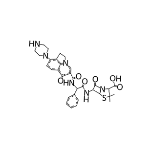 CC1(C)SC2C(NC(=O)C(NC(=O)c3cn4c5c(c(N6CCNCC6)ccc5c3=O)CC4)c3ccccc3)C(=O)N2C1C(=O)O